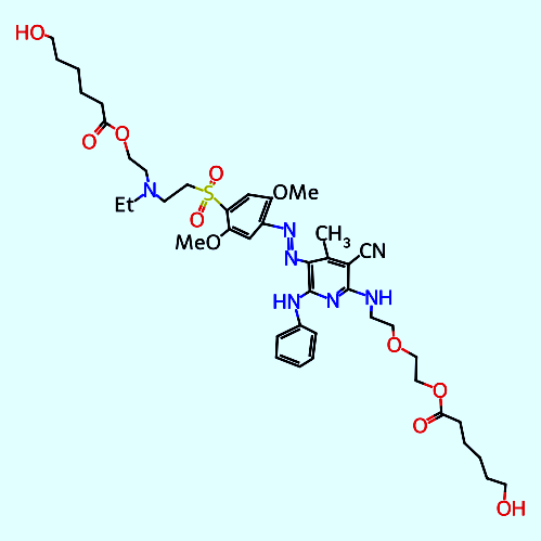 CCN(CCOC(=O)CCCCCO)CCS(=O)(=O)c1cc(OC)c(/N=N/c2c(Nc3ccccc3)nc(NCCOCCOC(=O)CCCCCO)c(C#N)c2C)cc1OC